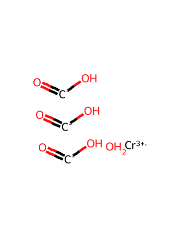 O.O=[C-]O.O=[C-]O.O=[C-]O.[Cr+3]